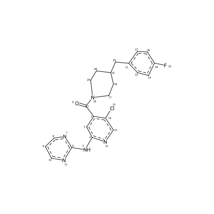 O=C(c1cc(Nc2ncccn2)ncc1Cl)N1CCC(Cc2ccc(F)cc2)CC1